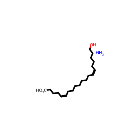 N[C@@H](CO)CCC/C=C\CCCCCCC/C=C\CCCC(=O)O